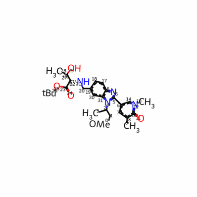 COCC(C)n1c(-c2cc(C)c(=O)n(C)c2)nc2ccc(CN[C@H](C(=O)OC(C)(C)C)[C@@H](C)O)cc21